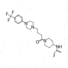 C=CC(=C)NC1CCN(C(=O)CCCN2CCN(c3ccc(C(F)(F)F)cc3)CC2)CC1